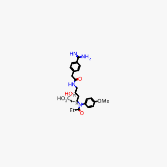 CCC(=O)N(c1ccc(OC)cc1)[C@H](CC(=O)O)C[C@H](O)CNC(=O)Cc1ccc(C(=N)N)cc1